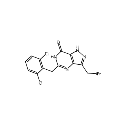 CC(C)Cc1n[nH]c2c(=O)[nH]c(Cc3c(Cl)cccc3Cl)nc12